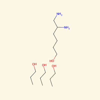 CCCO.CCCO.CCCO.NCC(N)CCCCO